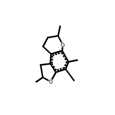 Cc1c(C)c2c(c3c1OC(C)CC3)CC(C)O2